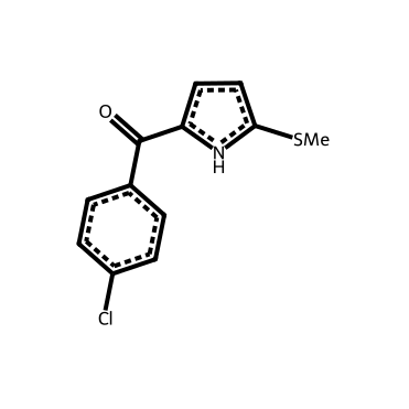 CSc1ccc(C(=O)c2ccc(Cl)cc2)[nH]1